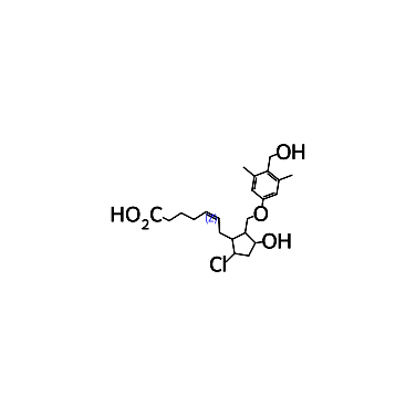 Cc1cc(OCC2C(O)CC(Cl)C2C/C=C\CCCC(=O)O)cc(C)c1CO